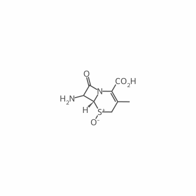 CC1=C(C(=O)O)N2C(=O)C(N)[C@H]2[S+]([O-])C1